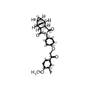 COc1ccc(C(=O)COc2ccc(N3C(=O)[C@@H]4[C@@H]5C=C[C@@H]([C@H]6C[C@@H]56)[C@@H]4C3=O)cc2)cc1F